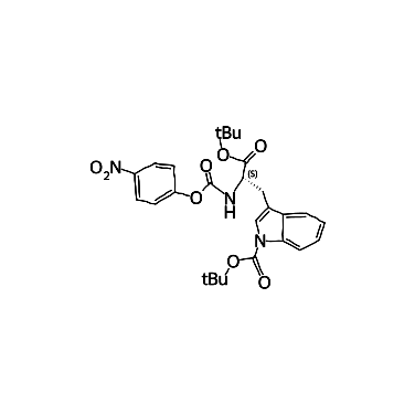 CC(C)(C)OC(=O)[C@H](Cc1cn(C(=O)OC(C)(C)C)c2ccccc12)NC(=O)Oc1ccc([N+](=O)[O-])cc1